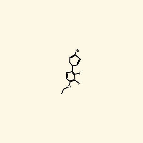 CCOc1ccc(C2C=CC(Br)=CC2)c(F)c1F